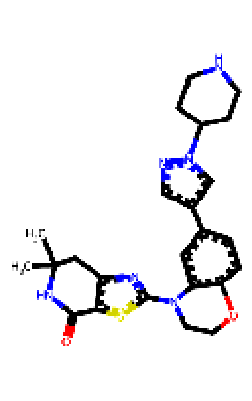 CC1(C)Cc2nc(N3CCOc4ccc(-c5cnn(C6CCNCC6)c5)cc43)sc2C(=O)N1